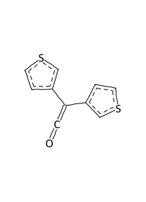 O=C=C(c1ccsc1)c1ccsc1